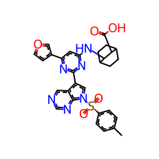 Cc1ccc(S(=O)(=O)n2cc(-c3nc(NC4C5CCC(CC5)C4C(=O)O)cc(-c4ccoc4)n3)c3cncnc32)cc1